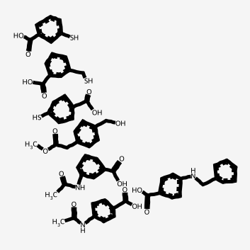 CC(=O)Nc1ccc(C(=O)O)cc1.CC(=O)Nc1cccc(C(=O)O)c1.COC(=O)Cc1ccc(CO)cc1.O=C(O)c1ccc(NCc2ccccc2)cc1.O=C(O)c1ccc(S)cc1.O=C(O)c1cccc(CS)c1.O=C(O)c1cccc(S)c1